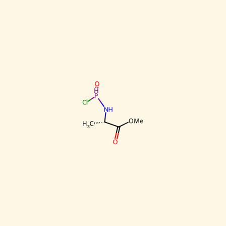 COC(=O)[C@H](C)N[PH](=O)Cl